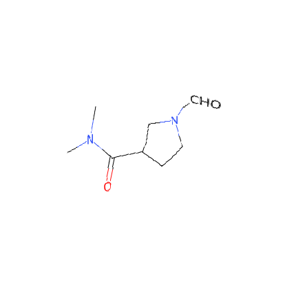 CN(C)C(=O)C1CCN(C=O)C1